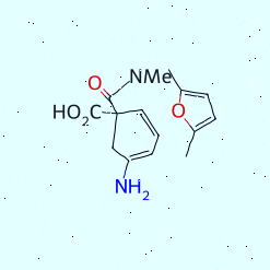 CNC(=O)C1(C(=O)O)C=CC=C(N)C1.Cc1ccc(C)o1